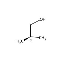 [CH2][C@H](C)CO